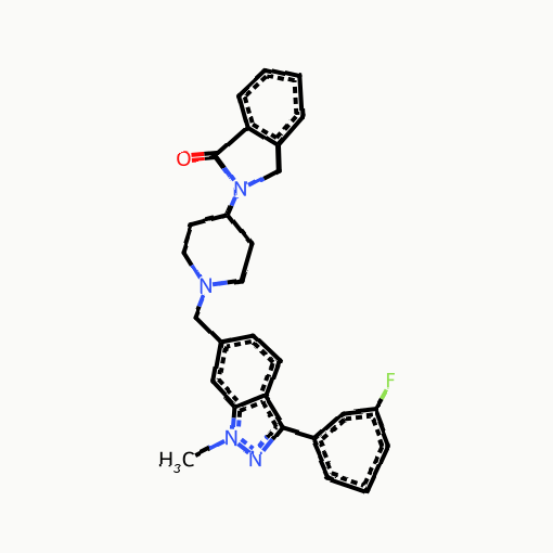 Cn1nc(-c2cccc(F)c2)c2ccc(CN3CCC(N4Cc5ccccc5C4=O)CC3)cc21